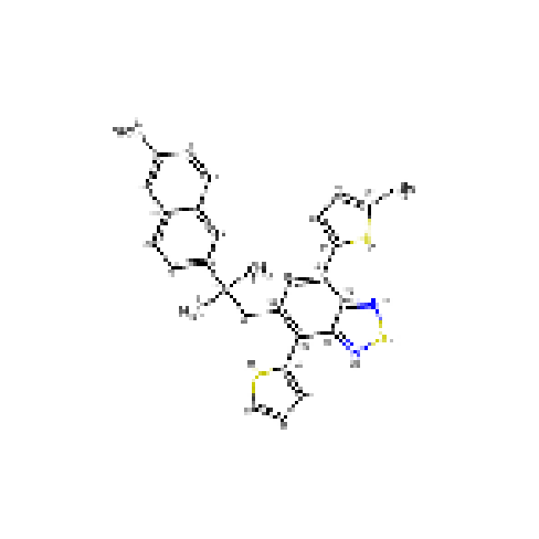 COc1ccc2cc(C(C)(C)Cc3cc(-c4ccc(C(C)(C)C)s4)c4nsnc4c3-c3cccs3)ccc2c1